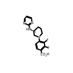 O=C(O)c1ccc(N2CCC[C@H](Nc3ncccn3)C2)c(F)c1F